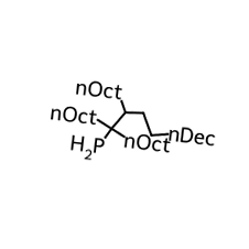 CCCCCCCCCCCCC(CCCCCCCC)C(P)(CCCCCCCC)CCCCCCCC